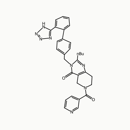 CCCCc1nc2c(c(=O)n1Cc1ccc(-c3ccccc3-c3nnn[nH]3)cc1)CN(C(=O)c1cccnc1)CC2